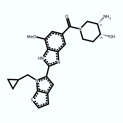 COc1cc(C(=O)N2CC[C@@H](O)[C@@H](N)C2)cc2nc(-c3cc4ccsc4n3CC3CC3)[nH]c12